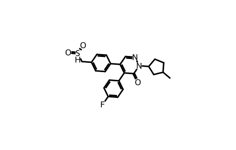 CC1CCC(n2ncc(-c3ccc(C[SH](=O)=O)cc3)c(-c3ccc(F)cc3)c2=O)C1